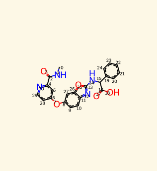 CNC(=O)c1cc(Oc2ccc3nc(NC(C(=O)O)c4ccccc4)oc3c2)ccn1